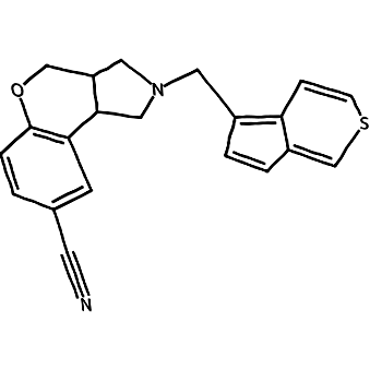 N#Cc1ccc2c(c1)C1CN(Cc3ccc4csccc3-4)CC1CO2